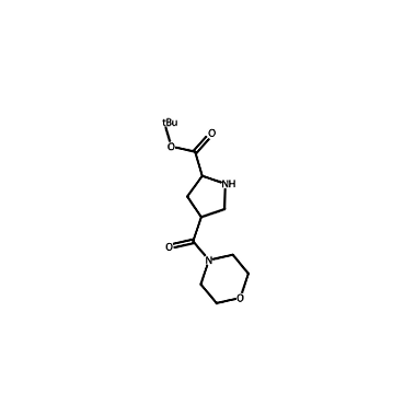 CC(C)(C)OC(=O)C1CC(C(=O)N2CCOCC2)CN1